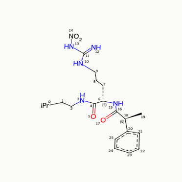 CC(C)CCNC(=O)[C@H](CCCNC(=N)N[N+](=O)[O-])NC(=O)[C@@H](C)c1ccccc1